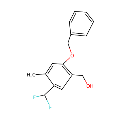 Cc1cc(OCc2ccccc2)c(CO)cc1C(F)F